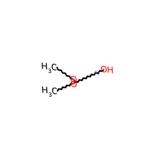 CCCCCCCCCOC(CCCCCCCCC/C=C/CCO)OCCCCCCCCC